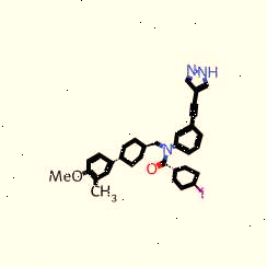 COc1ccc([C@H]2CC[C@H](CN(c3cccc(C#Cc4cn[nH]c4)c3)C(=O)[C@H]3CC[C@H](I)CC3)CC2)cc1C